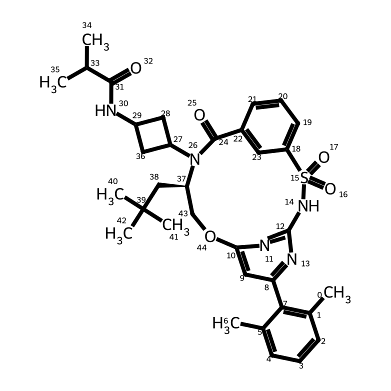 Cc1cccc(C)c1-c1cc2nc(n1)NS(=O)(=O)c1cccc(c1)C(=O)N(C1CC(NC(=O)C(C)C)C1)[C@H](CC(C)(C)C)CO2